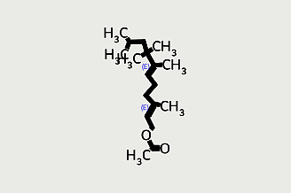 CC(=O)OC/C=C(\C)CC/C=C(\C)C(C)(C)CC(C)C